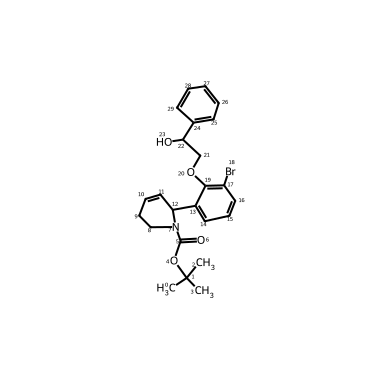 CC(C)(C)OC(=O)N1CCC=CC1c1cccc(Br)c1OCC(O)c1ccccc1